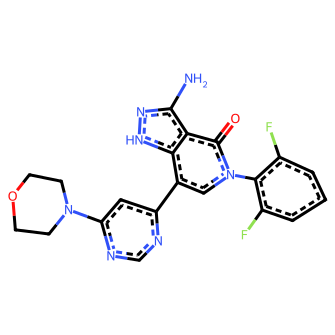 Nc1n[nH]c2c(-c3cc(N4CCOCC4)ncn3)cn(-c3c(F)cccc3F)c(=O)c12